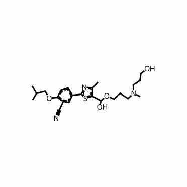 Cc1nc(-c2ccc(OCC(C)C)c(C#N)c2)sc1C(O)OCCCN(C)CCCO